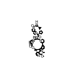 CCn1c(-c2cccnc2[C@H](C)OC)c2c3cc(ccc31)C1=CCCN(C1)C[C@H](NC(=O)[C@H](C1CCCC1)N1CC[C@]3(CCN(C(=O)[C@@H]4N[C@@H]4C4CC4)C3)C1)C(=O)N1CCC[C@H](N1)C(=O)OCC(C)(C)C2